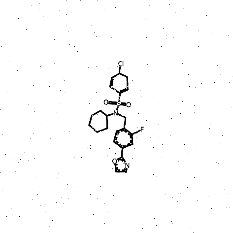 O=S(=O)(C1=CCC(Cl)C=C1)N(Cc1ccc(-c2ncco2)cc1F)C1CCCCC1